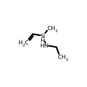 C=C[SiH](C)NCC